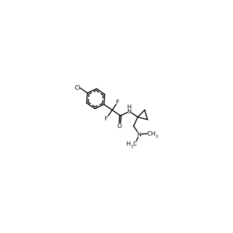 CN(C)CC1(NC(=O)C(F)(F)c2ccc(Cl)cc2)CC1